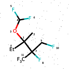 CCC(C)(OC(F)F)C(F)(CF)C(F)(F)F